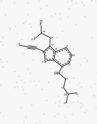 CC#Cc1sc2c(NCCN(C)C)cccc2c1CC(F)F